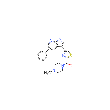 CN1CCN(C(=O)c2nc(-c3c[nH]c4ncc(-c5ccccc5)cc34)cs2)CC1